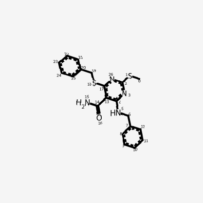 CSc1nc(NCc2ccccc2)c(C(N)=O)c(SCc2ccccc2)n1